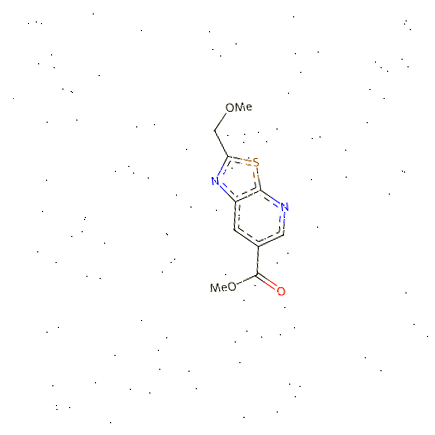 COCc1nc2cc(C(=O)OC)cnc2s1